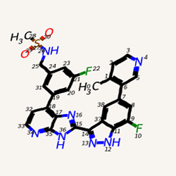 Cc1ccncc1-c1cc(F)c2[nH]nc(-c3nc4c(-c5cc(F)cc(CNS(C)(=O)=O)c5)ccnc4[nH]3)c2c1